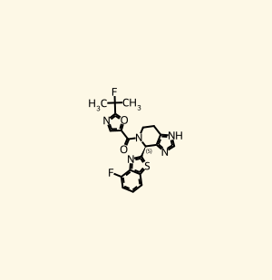 CC(C)(F)c1ncc(C(=O)N2CCc3[nH]cnc3[C@H]2c2nc3c(F)cccc3s2)o1